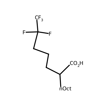 [CH2]CCCCCCCC(CCCC(F)(F)C(F)(F)F)C(=O)O